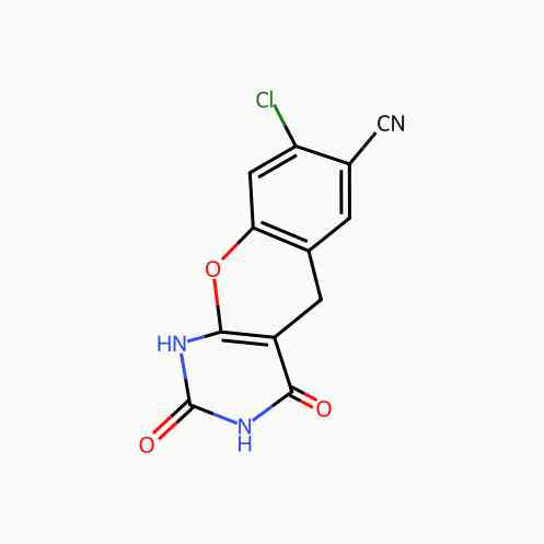 N#Cc1cc2c(cc1Cl)Oc1[nH]c(=O)[nH]c(=O)c1C2